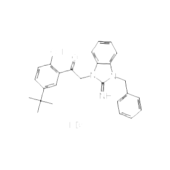 Br.CC(C)(C)c1ccc(O)c(C(=O)Cn2c(=N)n(Cc3ccccc3)c3ccccc32)c1